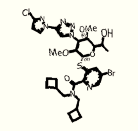 COC1C(n2cc(-n3ccc(Cl)n3)nn2)[C@@H](OC)C(C(C)O)O[C@@H]1Sc1cc(Br)cnc1C(=O)N(CC1CCC1)CC1CCC1